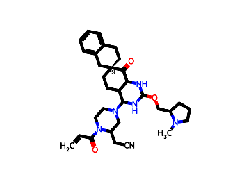 C=CC(=O)N1CCN(C2NC(OCC3CCCN3C)NC3C(=O)[C@]4(CCc5ccccc5C4)CCC32)CC1CC#N